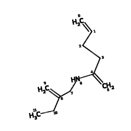 C=CCCC(=C)NCC(=C)CC